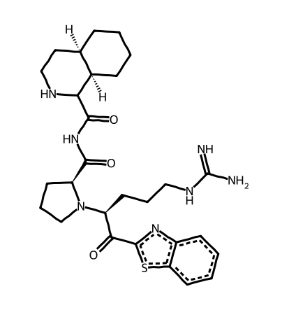 N=C(N)NCCC[C@@H](C(=O)c1nc2ccccc2s1)N1CCC[C@H]1C(=O)NC(=O)C1NCC[C@H]2CCCC[C@@H]12